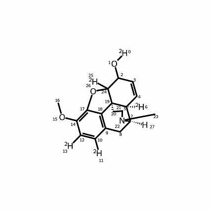 [2H]OC1C=C[C@@]2([2H])[C@H]3Cc4c([2H])c([2H])c(OC)c5c4[C@@]2(CCN3C)C1([2H])O5